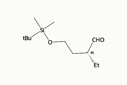 CC[C@@H](C=O)CCO[Si](C)(C)C(C)(C)C